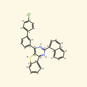 Clc1ccc(-c2cccc(-c3nc(-c4cccc5ccccc45)nc4c3sc3ccccc34)c2)cc1